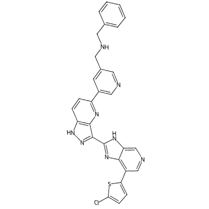 Clc1ccc(-c2cncc3[nH]c(-c4n[nH]c5ccc(-c6cncc(CNCc7ccccc7)c6)nc45)nc23)s1